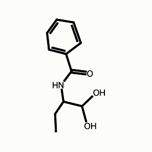 CCC(NC(=O)c1ccccc1)C(O)O